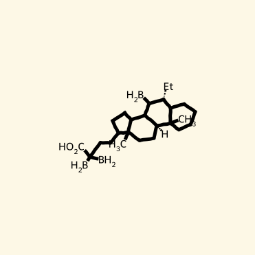 BC1C2C3CCC(CCC(B)(B)C(=O)O)C3(C)CC[C@@H]2C2(C)CCCCC2[C@H]1CC